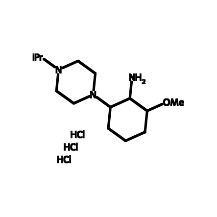 COC1CCCC(N2CCN(C(C)C)CC2)C1N.Cl.Cl.Cl